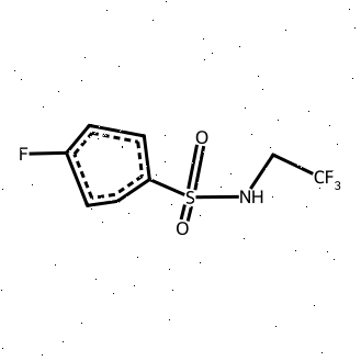 O=S(=O)(NCC(F)(F)F)c1ccc(F)cc1